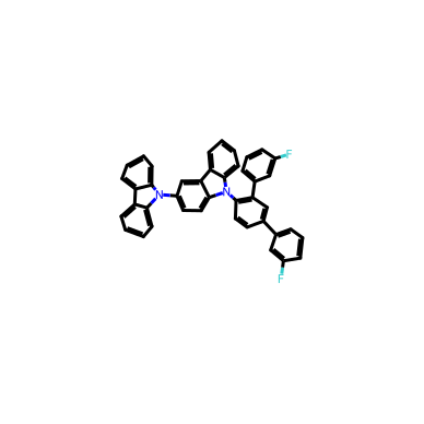 Fc1cccc(-c2ccc(-n3c4ccccc4c4cc(-n5c6ccccc6c6ccccc65)ccc43)c(-c3cccc(F)c3)c2)c1